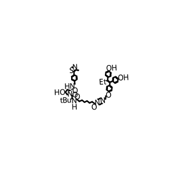 CCC(=C(c1ccc(O)cc1)c1ccc(OCCN2CCN(C(=O)CCCCCCC(=O)N[C@H](C(=O)N3C[C@H](O)C[C@H]3C(=O)NCc3ccc(-c4scnc4C)cc3)C(C)(C)C)CC2)cc1)c1ccc(O)cc1